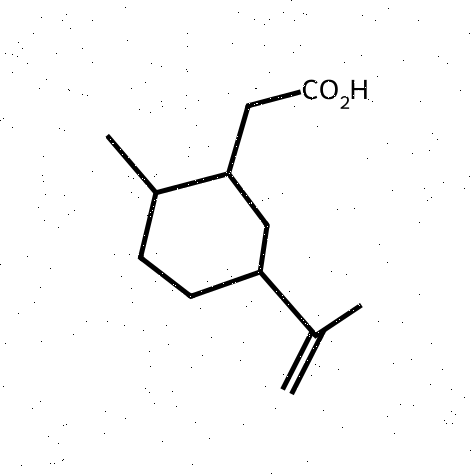 C=C(C)C1CCC(C)C(CC(=O)O)C1